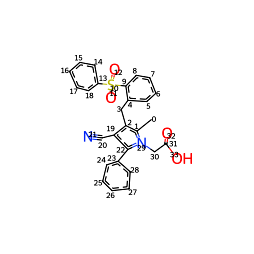 Cc1c(Cc2ccccc2S(=O)(=O)c2ccccc2)c(C#N)c(-c2ccccc2)n1CC(=O)O